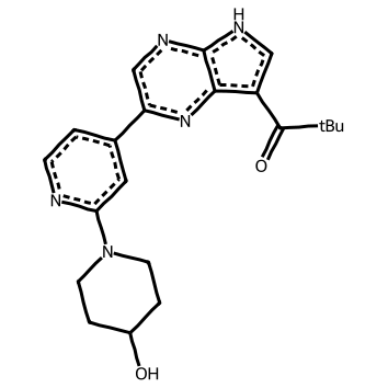 CC(C)(C)C(=O)c1c[nH]c2ncc(-c3ccnc(N4CCC(O)CC4)c3)nc12